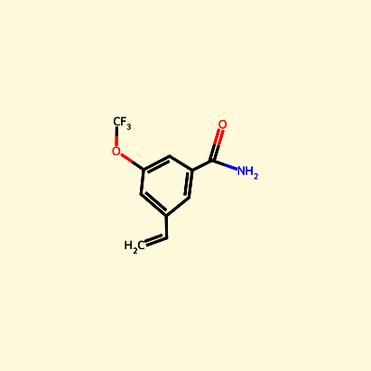 C=Cc1cc(OC(F)(F)F)cc(C(N)=O)c1